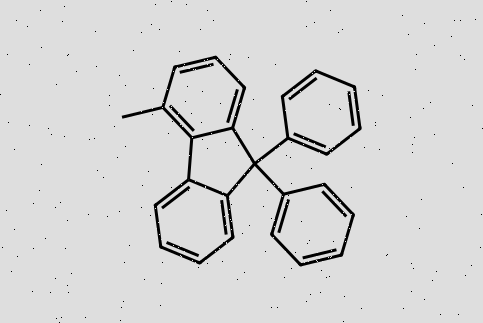 Cc1cccc2c1-c1ccccc1C2(c1ccccc1)c1ccccc1